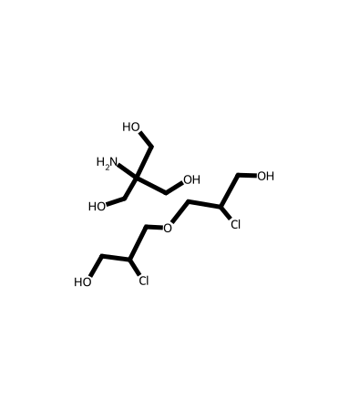 NC(CO)(CO)CO.OCC(Cl)COCC(Cl)CO